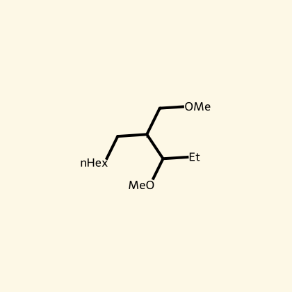 CCCCCCC[C](COC)C(CC)OC